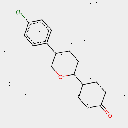 O=C1CCC(C2CCC(c3ccc(Cl)cc3)CO2)CC1